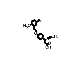 CC#C[C@@H](CC(=O)O)c1ccc(OCCc2cc(Br)ccc2C)cc1